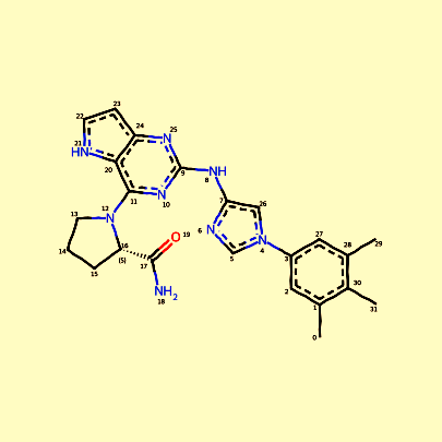 Cc1cc(-n2cnc(Nc3nc(N4CCC[C@H]4C(N)=O)c4[nH]ccc4n3)c2)cc(C)c1C